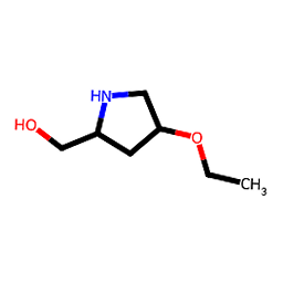 CCOC1CNC(CO)C1